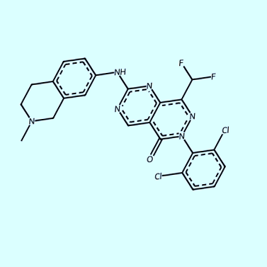 CN1CCc2ccc(Nc3ncc4c(=O)n(-c5c(Cl)cccc5Cl)nc(C(F)F)c4n3)cc2C1